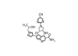 CC[C@H]1CN(c2ncc(C#N)cn2)C[C@H]1Nc1c(C(N)=O)cnn2cc(-c3cnn(CC(C)O)c3)cc12